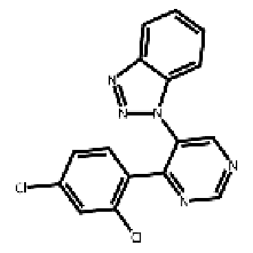 Clc1ccc(-c2n[c]ncc2-n2nnc3ccccc32)c(Cl)c1